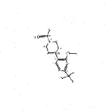 COc1cc(C(C)(C)C)ccc1N1CCN(C(C)=O)CC1